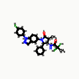 C[C@@H]1C(=O)N(c2ccc3c(cnn3-c3ccc(F)cc3)c2)C(c2ccccc2)[C@H]1NC(=O)C(C)(F)F